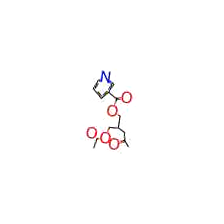 CC(=O)CC(COC(C)=O)COC(=O)c1cccnc1